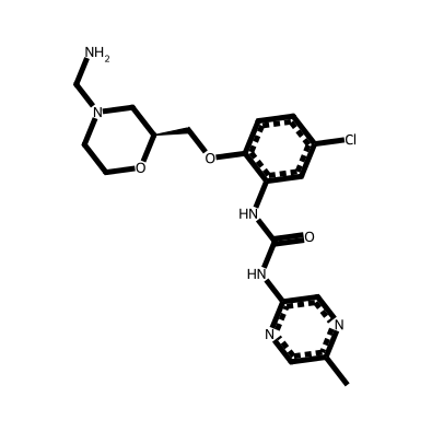 Cc1cnc(NC(=O)Nc2cc(Cl)ccc2OC[C@@H]2CN(CN)CCO2)cn1